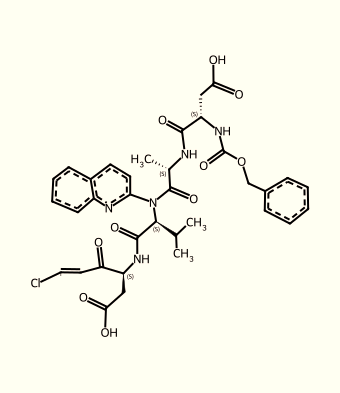 CC(C)[C@@H](C(=O)N[C@@H](CC(=O)O)C(=O)C=[C]Cl)N(C(=O)[C@H](C)NC(=O)[C@H](CC(=O)O)NC(=O)OCc1ccccc1)c1ccc2ccccc2n1